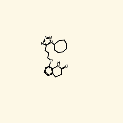 O=C1CCc2cccc(OCCCc3nnnn3C3CCCCCCC3)c2N1